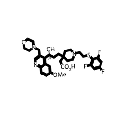 COc1ccc2ncc(CN3CCOCC3)c([C@H](O)CCC3(CC(=O)O)CCN(CCSc4c(F)cc(F)cc4F)CC3)c2c1